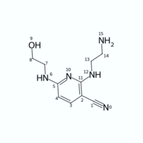 N#Cc1ccc(NCCO)nc1NCCN